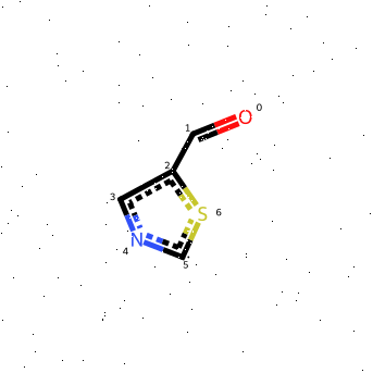 O=Cc1cn[c]s1